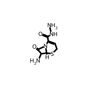 NNC(=O)C1=CCS[C@@H]2C(N)C(=O)N12